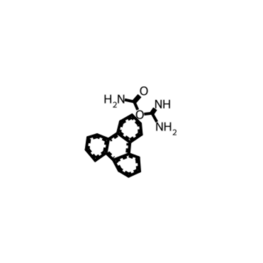 N=C(N)OC(N)=O.c1ccc2c(c1)c1ccccc1c1ccccc21